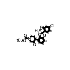 CC(C)(C)OC(=O)N1CCC(c2cccc3c2OC(C)(c2ccc(Cl)cc2F)O3)C(=O)C1